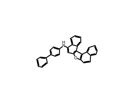 c1ccc(-c2ccc(Nc3cc4oc5ccc6ccccc6c5c4c4ccccc34)cc2)cc1